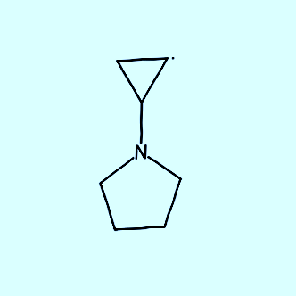 [CH]1CC1N1CCCC1